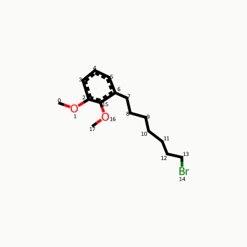 COc1cccc(CCCCCCCBr)c1OC